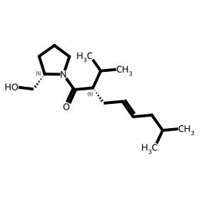 CC(C)CC=CC[C@H](C(=O)N1CCC[C@H]1CO)C(C)C